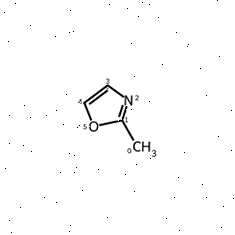 Cc1n[c]co1